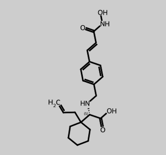 C=CCC1([C@H](NCc2ccc(C=CC(=O)NO)cc2)C(=O)O)CCCCC1